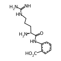 N=C(N)NCCC[C@H](N)C(=O)Nc1ccccc1C(=O)O